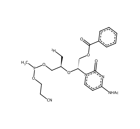 [2H]C[C@H](COP(C)OCCC#N)O[C@H](COC(=O)c1ccccc1)n1ccc(NC(C)=O)nc1=O